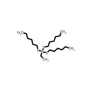 [CH2]C[Si](SCCCCCC)(SCCCCCC)SCCCCCC